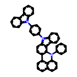 c1ccc(N2c3cccc4cccc(c34)-c3ccc4c(c32)c2ccccc2n4-c2ccc(-n3c4ccccc4c4ccccc43)cc2)cc1